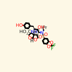 CC(C)CN(C([C@H](O)[C@H](Cc1ccc(O)cc1)NC(=O)O)[C@@H]1CO[C@H]2OCC[C@H]21)S(=O)(=O)c1ccc2c(c1)OC(F)(F)O2